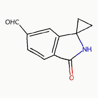 O=Cc1ccc2c(c1)C1(CC1)NC2=O